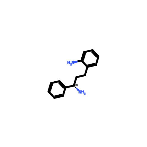 Nc1c[c]ccc1CC[C@H](N)c1ccccc1